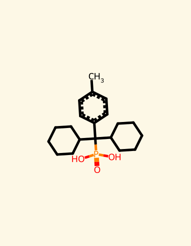 Cc1ccc(C(C2CCCCC2)(C2CCCCC2)P(=O)(O)O)cc1